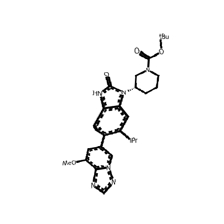 COc1cc(-c2cc3[nH]c(=O)n([C@H]4CCCN(C(=O)OC(C)(C)C)C4)c3cc2C(C)C)cn2ncnc12